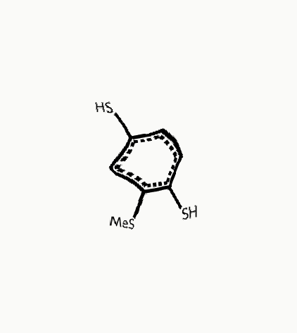 CSc1cc(S)ccc1S